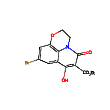 CCOC(=O)c1c(O)c2cc(Br)cc3c2n(c1=O)CCO3